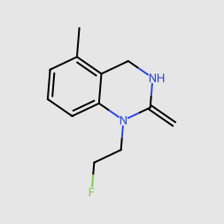 C=C1NCc2c(C)cccc2N1CCF